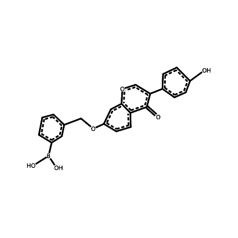 O=c1c(-c2ccc(O)cc2)coc2cc(OCc3cccc(B(O)O)c3)ccc12